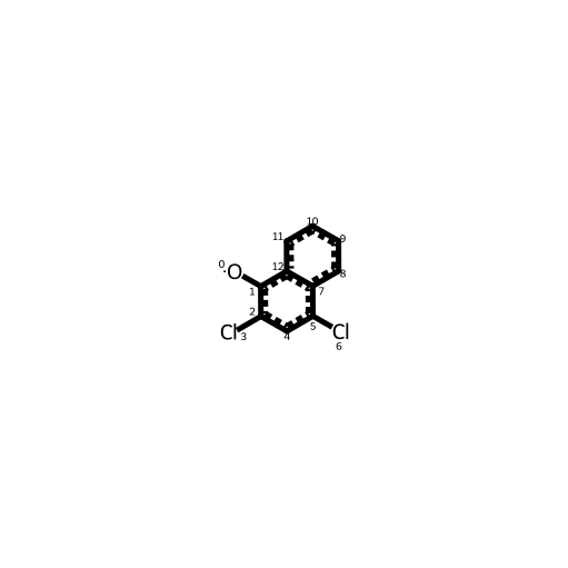 [O]c1c(Cl)cc(Cl)c2ccccc12